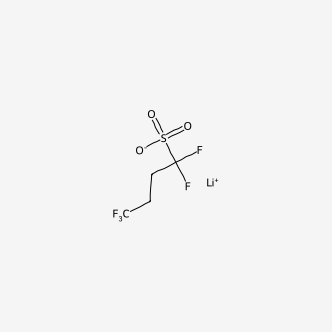 O=S(=O)([O-])C(F)(F)CCC(F)(F)F.[Li+]